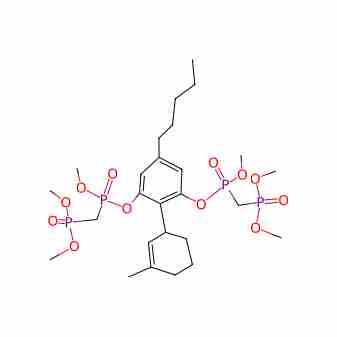 CCCCCc1cc(OP(=O)(CP(=O)(OC)OC)OC)c(C2C=C(C)CCC2)c(OP(=O)(CP(=O)(OC)OC)OC)c1